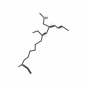 C=C=C(C)CCCCCC/C(=C/C(=C\C=C\C)CNC)CC